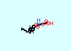 CC(C)CCC[C@@H](C)[C@H]1CC[C@H]2[C@@H]3CC=C4C[C@@H](OC(=O)NCCOCCC(=O)O)CC[C@]4(C)[C@H]3CC[C@]12C